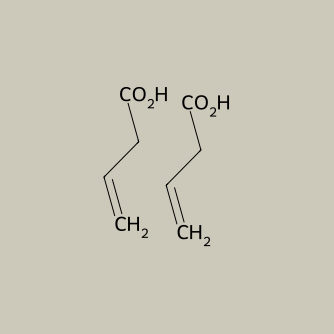 C=CCC(=O)O.C=CCC(=O)O